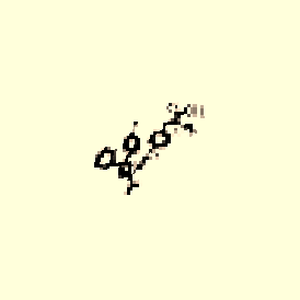 CCOC(Cc1ccc(OCCn2c(C(C)C)cc(-c3ccccc3)c2-c2ccc(F)cc2)cc1)C(=O)O